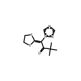 CC(C)(C)C(=O)C(=C1SCCS1)n1cncn1